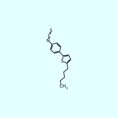 CCCCCc1ccc(-c2ccc(N=C=S)cc2)s1